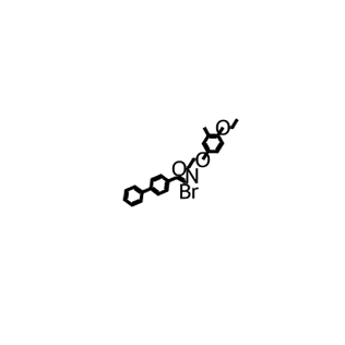 CCOc1ccc(OCc2nc(Br)c(-c3ccc(-c4ccccc4)cc3)o2)cc1C